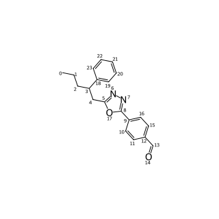 CCCC(Cc1nnc(-c2ccc(C=O)cc2)o1)c1ccccc1